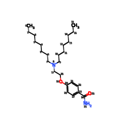 CCCCCCCCN(CCCCCCCC)CCOc1ccc(C(N)=O)cc1